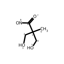 CC(CO)(CO)C(=O)N=O